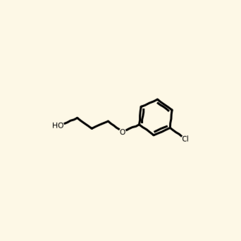 OCCCOc1cccc(Cl)c1